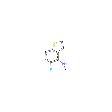 CNc1c(F)ccc2sccc12